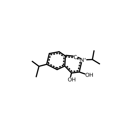 CC(C)c1ccc2c[n+](C(C)C)c(O)c(O)c2c1